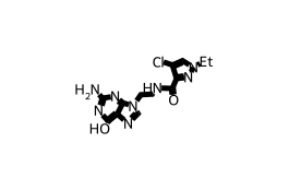 CCn1cc(Cl)c(C(=O)NCCn2cnc3c(O)nc(N)nc32)n1